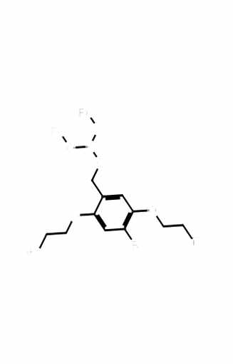 CCOP(OCC)OCc1cc(OCCC(C)C)c(Br)cc1OCCC(C)C